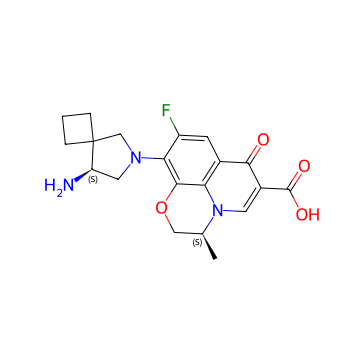 C[C@H]1COc2c(N3C[C@@H](N)C4(CCC4)C3)c(F)cc3c(=O)c(C(=O)O)cn1c23